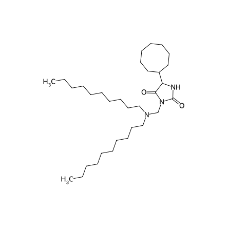 CCCCCCCCCCN(CCCCCCCCCC)CN1C(=O)NC(C2CCCCCCC2)C1=O